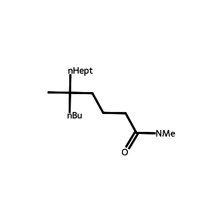 CCCCCCCC(C)(CCCC)CCCC(=O)NC